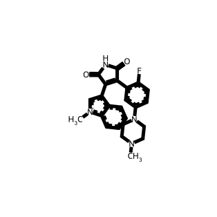 CN1CCN(c2ccc(F)c(C3=C(c4cn(C)c5ccccc45)C(=O)NC3=O)c2)CC1